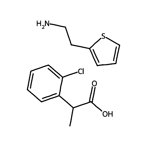 CC(C(=O)O)c1ccccc1Cl.NCCc1cccs1